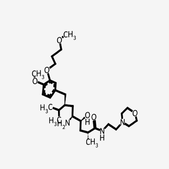 COCCCOc1cc(C[C@@H](C[C@H](N)[C@@H](O)C[C@@H](C)C(=O)NCCN2CCOCC2)C(C)C)ccc1OC